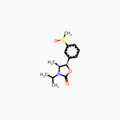 CC(C)N1C(=O)O[C@H](c2cccc([S+](C)[O-])c2)[C@@H]1C